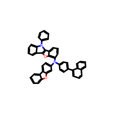 c1ccc(-n2c3ccccc3c3oc4c(N(c5ccc(-c6cccc7ccccc67)cc5)c5ccc6c(c5)oc5ccccc56)cccc4c32)cc1